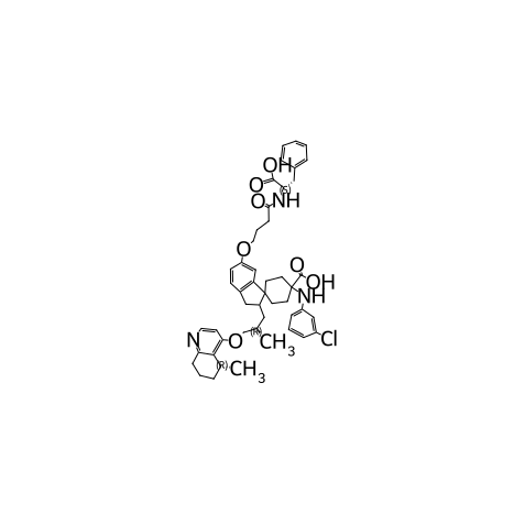 C[C@@H](COc1ccnc2c1[C@H](C)CCC2)CC1Cc2ccc(OCCCC(=O)N[C@@H](Cc3ccccc3)C(=O)O)cc2C12CCC(Nc1cccc(Cl)c1)(C(=O)O)CC2